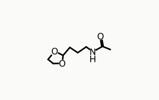 CC(=O)NCCCC1OCCO1